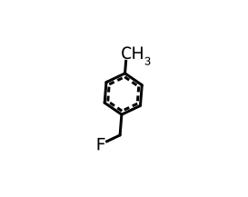 Cc1ccc(CF)cc1